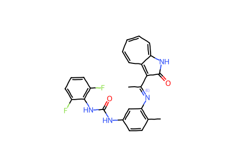 C/C(=N\c1cc(NC(=O)Nc2c(F)cccc2F)ccc1C)c1c2cccccc-2[nH]c1=O